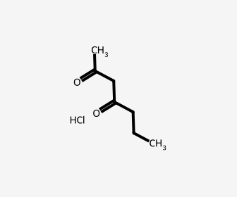 CCCC(=O)CC(C)=O.Cl